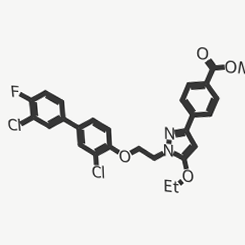 CCOc1cc(-c2ccc(C(=O)OC)cc2)nn1CCOc1ccc(-c2ccc(F)c(Cl)c2)cc1Cl